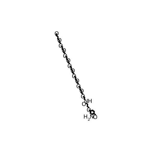 Nc1cc(OCCCC(=O)NCCOCCOCCOCCOCCOCCOCCOCCOCCOCCOCCOCCOCCC=O)ccc1C=O